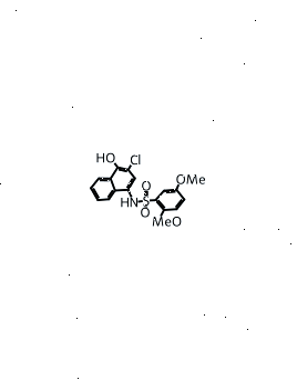 COc1ccc(OC)c(S(=O)(=O)Nc2cc(Cl)c(O)c3ccccc23)c1